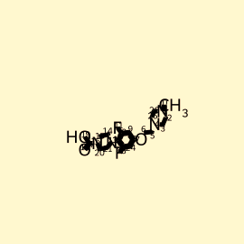 CN1CCN(CCOc2cc(F)c(N3CCN(C(=O)O)CC3)c(F)c2)CC1